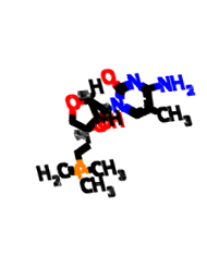 C=P(C)(C)CC[C@@]12CO[C@@H]([C@H](n3cc(C)c(N)nc3=O)O1)[C@@H]2O